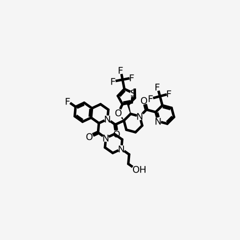 CCC[C@H]1N(C(=O)c2ncccc2C(F)(F)F)CCC[C@@]1(Oc1csc(C(F)(F)F)c1)C(=O)N1CCc2cc(F)ccc2C1C(=O)N1CCN(CCO)CC1